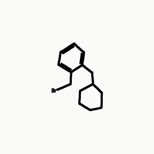 BrCc1ccccc1CC1CCCCC1